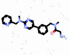 CN(Cc1cccc(-c2cnc(N(C)Cc3ccccn3)nc2)c1)C(=O)CN